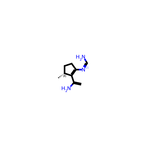 C=C(N)C1=C(/N=C\N)CC[C@H]1C